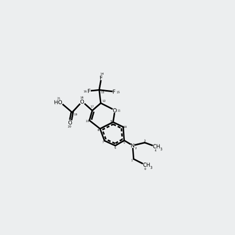 CCN(CC)c1ccc2c(c1)OC(C(F)(F)F)C(OC(=O)O)=C2